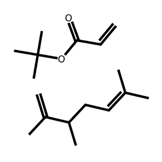 C=C(C)C(C)CC=C(C)C.C=CC(=O)OC(C)(C)C